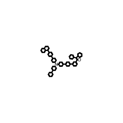 c1ccc(-c2ccc(N(c3ccc(-c4ccc(-c5cccc(-c6oc7ccccc7c6-c6ccccc6)c5)cc4)cc3)c3ccc(-c4ccc(-c5cccc6ccccc56)cc4)cc3)cc2)cc1